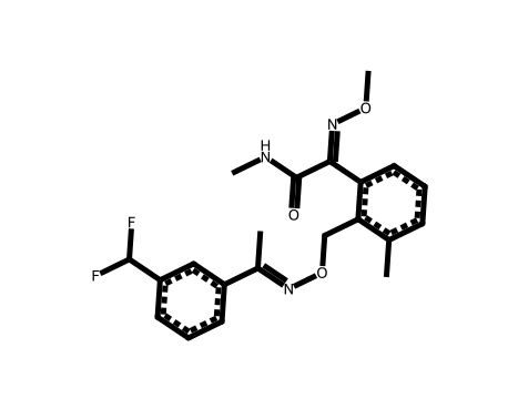 CNC(=O)/C(=N/OC)c1cccc(C)c1CO/N=C(\C)c1cccc(C(F)F)c1